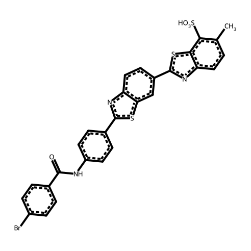 Cc1ccc2nc(-c3ccc4nc(-c5ccc(NC(=O)c6ccc(Br)cc6)cc5)sc4c3)sc2c1S(=O)(=O)O